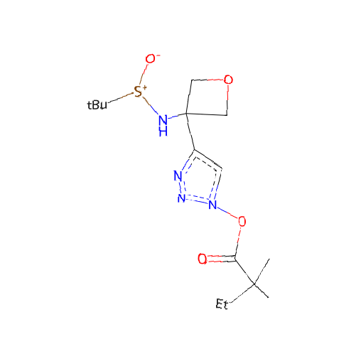 CCC(C)(C)C(=O)On1cc(C2(N[S+]([O-])C(C)(C)C)COC2)nn1